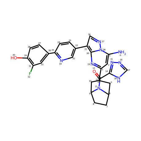 Nc1cc(C2CC3CCC(C2)N3C(=O)c2nnc[nH]2)nc2c(-c3ccc(-c4ccc(O)c(F)c4)nc3)cnn12